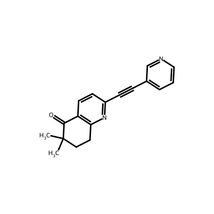 CC1(C)CCc2nc(C#Cc3cccnc3)ccc2C1=O